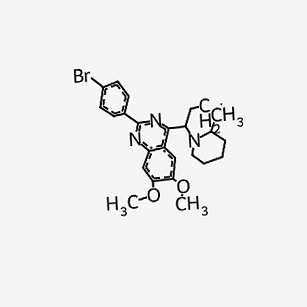 [CH2]CC(c1nc(-c2ccc(Br)cc2)nc2cc(OC)c(OC)cc12)N1CCCCC1C